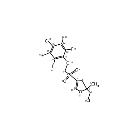 CC1(CCl)CC(S(=O)(=O)COc2c(F)c(F)c(Cl)c(F)c2F)=NO1